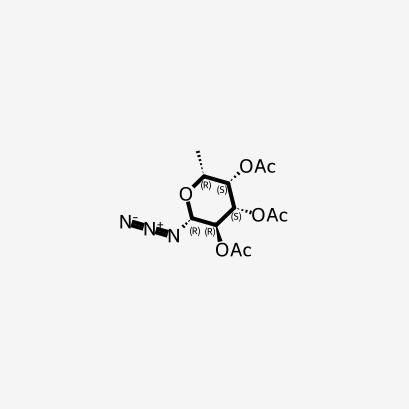 CC(=O)O[C@@H]1[C@@H](OC(C)=O)[C@H](N=[N+]=[N-])O[C@H](C)[C@@H]1OC(C)=O